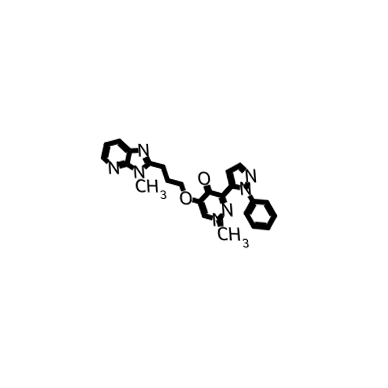 Cn1cc(OCCCc2nc3cccnc3n2C)c(=O)c(-c2ccnn2-c2ccccc2)n1